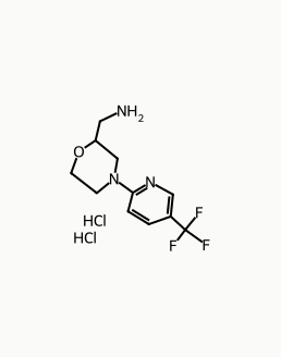 Cl.Cl.NCC1CN(c2ccc(C(F)(F)F)cn2)CCO1